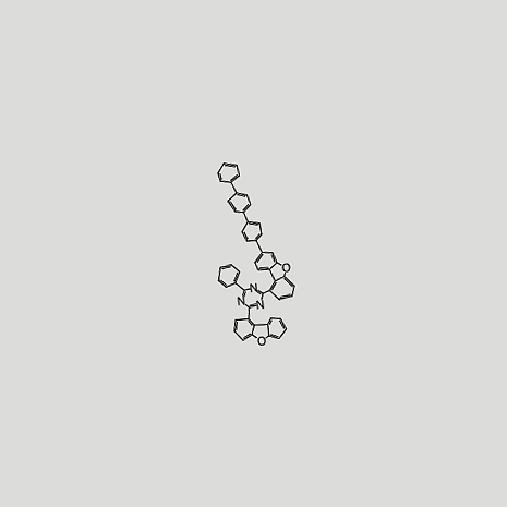 c1ccc(-c2ccc(-c3ccc(-c4ccc5c(c4)oc4cccc(-c6nc(-c7ccccc7)nc(-c7cccc8oc9ccccc9c78)n6)c45)cc3)cc2)cc1